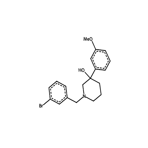 COc1cccc(C2(O)CCCN(Cc3cccc(Br)c3)C2)c1